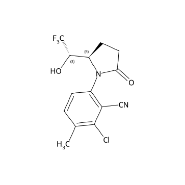 Cc1ccc(N2C(=O)CC[C@@H]2[C@H](O)C(F)(F)F)c(C#N)c1Cl